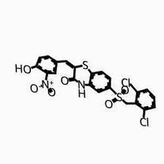 O=C1Nc2cc(S(=O)(=O)Cc3c(Cl)cccc3Cl)ccc2S/C1=C/c1ccc(O)c([N+](=O)[O-])c1